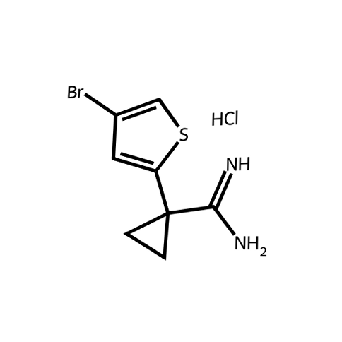 Cl.N=C(N)C1(c2cc(Br)cs2)CC1